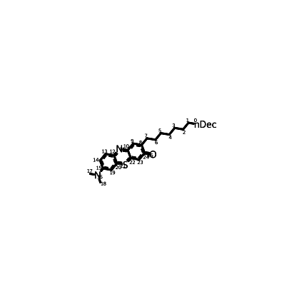 CCCCCCCCCCCCCCCCCc1cc2nc3ccc(N(C)C)cc3sc-2cc1=O